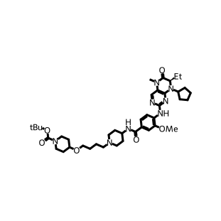 CC[C@@H]1C(=O)N(C)c2cnc(Nc3ccc(C(=O)NC4CCN(CCCCOC5CCN(C(=O)OC(C)(C)C)CC5)CC4)cc3OC)nc2N1C1CCCC1